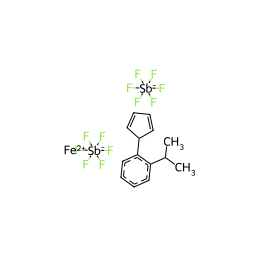 CC(C)c1ccccc1C1C=CC=C1.[F][Sb-]([F])([F])([F])([F])[F].[F][Sb-]([F])([F])([F])([F])[F].[Fe+2]